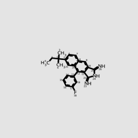 CCC(C)(C)c1ccc2cc3c(c(-c4cccc(F)c4)c2c1)C(=N)NC3=N